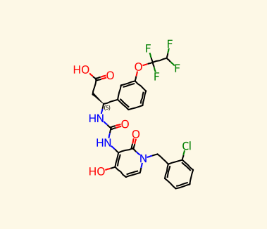 O=C(O)C[C@H](NC(=O)Nc1c(O)ccn(Cc2ccccc2Cl)c1=O)c1cccc(OC(F)(F)C(F)F)c1